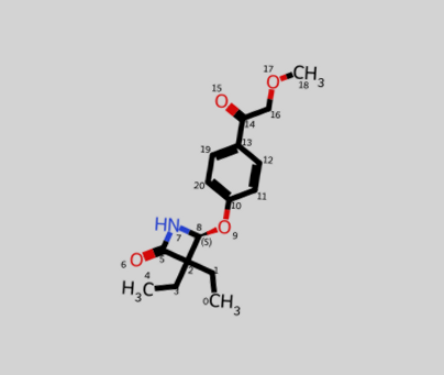 CCC1(CC)C(=O)N[C@H]1Oc1ccc(C(=O)COC)cc1